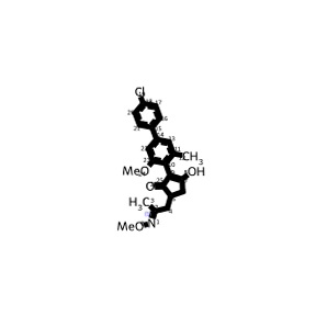 CO/N=C(\C)CC1CC(O)=C(c2c(C)cc(-c3ccc(Cl)cc3)cc2OC)C1=O